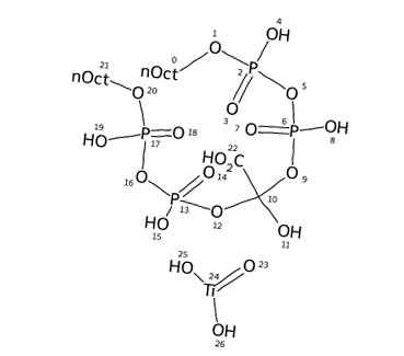 CCCCCCCCOP(=O)(O)OP(=O)(O)OC(O)(OP(=O)(O)OP(=O)(O)OCCCCCCCC)C(=O)O.[O]=[Ti]([OH])[OH]